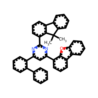 CC1(C)c2ccccc2-c2cccc(-c3nc(-c4ccccc4-c4ccccc4)cc(-c4cccc5c4oc4ccccc45)n3)c21